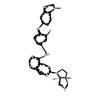 Cn1cnc2cc(Oc3ccc(Nc4ncnc5cnc(N6CC[C@@H]7COC[C@H]76)nc45)cc3Cl)ccc21